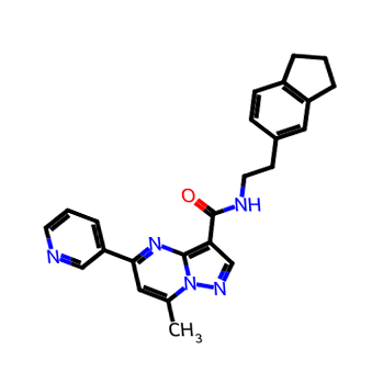 Cc1cc(-c2cccnc2)nc2c(C(=O)NCCc3ccc4c(c3)CCC4)cnn12